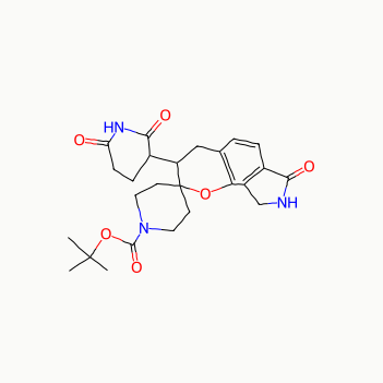 CC(C)(C)OC(=O)N1CCC2(CC1)Oc1c(ccc3c1CNC3=O)CC2C1CCC(=O)NC1=O